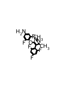 Cc1nn(C)c(Oc2c(F)cc(N)cc2F)c1-c1c(F)cc(F)cc1F